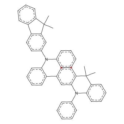 CC1(C)c2ccccc2-c2ccc(N(c3ccccc3)c3ccccc3-c3ccc4c(c3)N(c3ccccc3)c3ccccc3C4(C)C)cc21